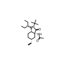 C=C[C@@H]1CC[C@@H](CN(CC)CC)[C@@](NC(C)=O)(C(=O)NC(C)(C)C)C1